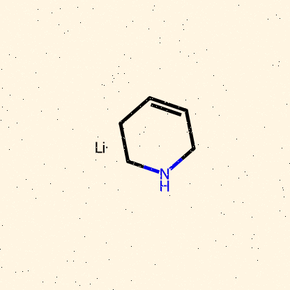 C1=CCNCC1.[Li]